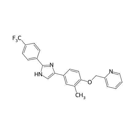 Cc1cc(-c2c[nH]c(-c3ccc(C(F)(F)F)cc3)n2)ccc1OCc1ccccn1